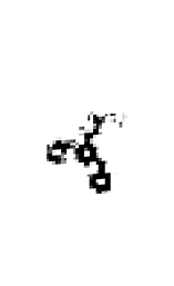 O=C(O)C(=O)CC(=O)c1cc(Cc2ccccc2)ccc1Oc1cnccn1